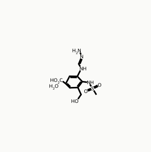 CS(=O)(=O)Nc1c(CO)cc(C(=O)O)cc1NC=NN.O